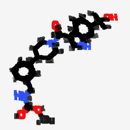 CC(C)(C)OC(=O)NCc1cccc(C2CCN(C(=O)c3c[nH]c4cc([Si](C)(C)O)ccc34)CC2)c1